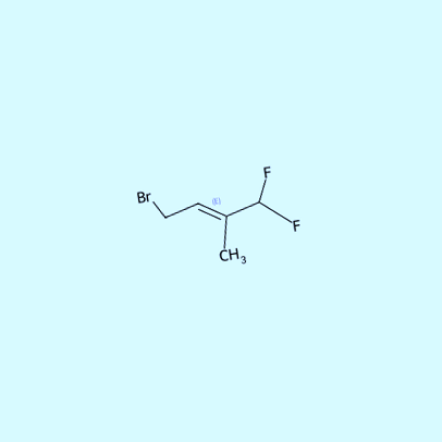 C/C(=C\CBr)C(F)F